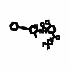 Cc1cc(C#Cc2ccccc2)cnc1NC(=O)c1cc(C(=O)N2CC(F)(F)C2)ccc1Cl